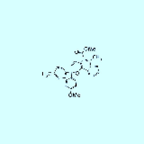 COC(=O)c1c2c(c3ccccc3c1C)OC(c1ccc(C)cc1)(c1ccc(OC)cc1)C=C2